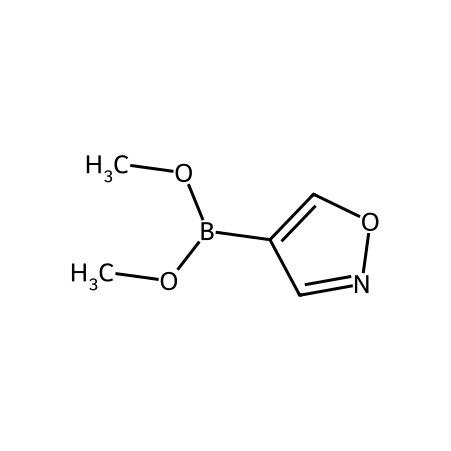 COB(OC)c1cnoc1